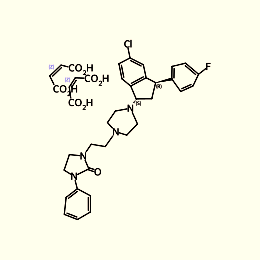 O=C(O)/C=C\C(=O)O.O=C(O)/C=C\C(=O)O.O=C1N(CCN2CCN([C@H]3C[C@H](c4ccc(F)cc4)c4cc(Cl)ccc43)CC2)CCN1c1ccccc1